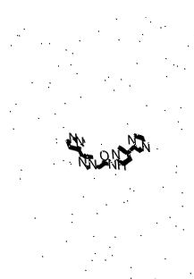 Cn1nccc1-c1cn(CC(=O)Nc2ccc(-c3cnccn3)cn2)cn1